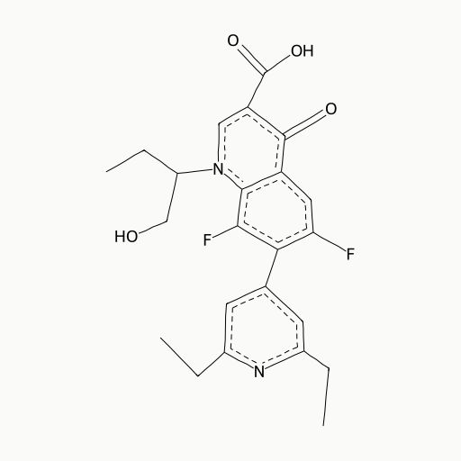 CCc1cc(-c2c(F)cc3c(=O)c(C(=O)O)cn(C(CC)CO)c3c2F)cc(CC)n1